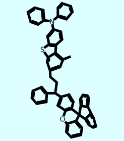 Cc1cc(CCC(c2ccccc2)c2ccc3c(c2)Oc2ccccc2C32c3ccccc3-c3ccccc32)cc2sc3cc(N(c4ccccc4)c4ccccc4)ccc3c12